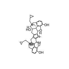 Cn1c2c(c3c1[C@@H]1Oc4c(O)ccc5c4[C@@]14CCN(CC1CC1)[C@H](C5)[C@]4(O)C3)C[C@@]1(O)C3Cc4ccc(O)c5c4[C@@]1(CCN3CC1CC1)[C@H]2O5